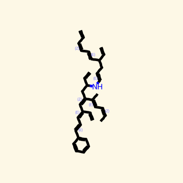 C=C/C=C\C=C\C(C=C)C/C=C/NC(C=C)CC(=C/C(C=C)=C/C=C/c1ccccc1)/C(C)=C/C=C\C